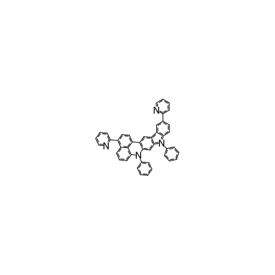 c1ccc(N2c3cc4c(cc3-c3ccc(-c5ccccn5)c5cccc2c35)c2cc(-c3ccccn3)ccc2n4-c2ccccc2)cc1